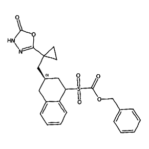 O=C(OCc1ccccc1)S(=O)(=O)C1C[C@H](CC2(c3n[nH]c(=O)o3)CC2)Cc2ccccc21